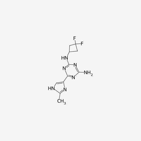 Cc1nc(-c2nc(N)nc(NC3CC(F)(F)C3)n2)c[nH]1